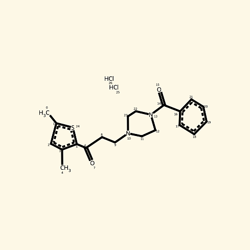 Cc1cc(C)c(C(=O)CCN2CCN(C(=O)c3ccccc3)CC2)s1.Cl.Cl